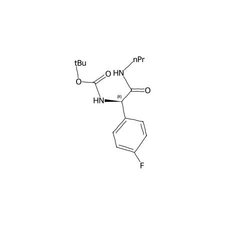 CCCNC(=O)[C@H](NC(=O)OC(C)(C)C)c1ccc(F)cc1